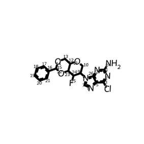 Nc1nc(Cl)c2ncn(C3COC4COC(c5ccccc5)OC4C3F)c2n1